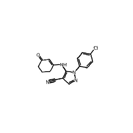 N#Cc1cnn(-c2ccc(Cl)cc2)c1NC1=CC(=O)CCC1